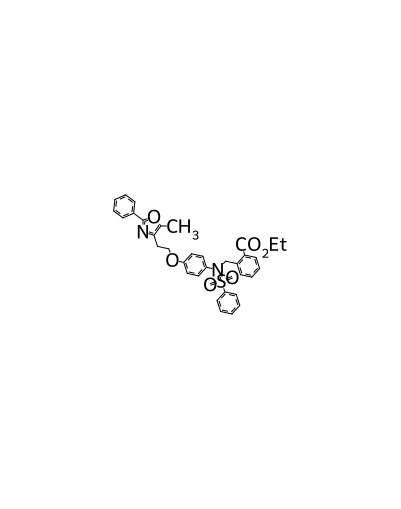 CCOC(=O)c1ccccc1CN(c1ccc(OCCc2nc(-c3ccccc3)oc2C)cc1)S(=O)(=O)c1ccccc1